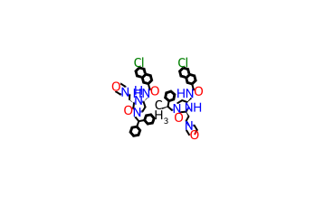 CC[C@H](CN1CC[C@@H](CNC(=O)c2ccc3cc(Cl)ccc3c2)N[C@@H](CCN2CCOCC2)C1=O)c1ccccc1.O=C(NC[C@@H]1CCN(CC(c2ccccc2)c2ccccc2)C(=O)[C@H](CCN2CCOCC2)N1)c1ccc2cc(Cl)ccc2c1